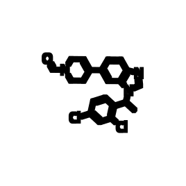 CC(c1ccc(Cl)cc1Cl)n1cnc2ccc(C3=CCN(C=O)CC3)cc21